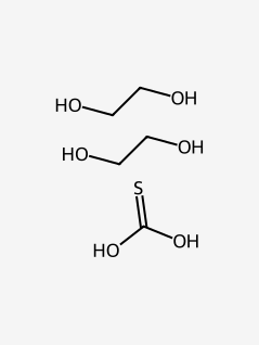 OC(O)=S.OCCO.OCCO